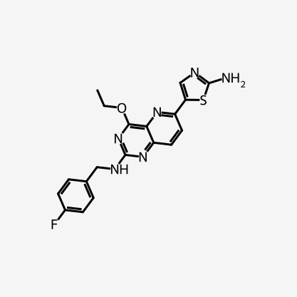 CCOc1nc(NCc2ccc(F)cc2)nc2ccc(-c3cnc(N)s3)nc12